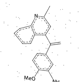 C=C(c1ccc(OC)c(N)c1)c1cc(C)nc2ccccc12